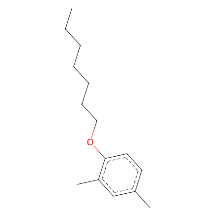 CCCCCCCOc1ccc(C)cc1C